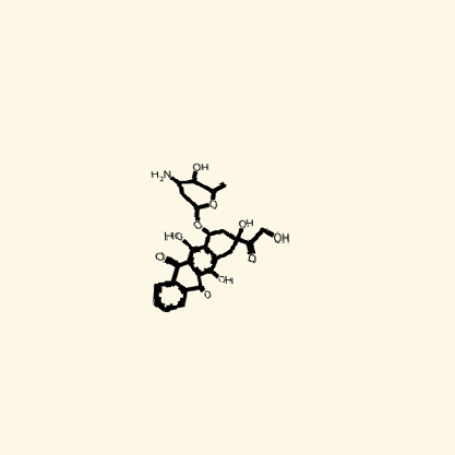 CC1OC(OC2CC(O)(C(=O)CO)Cc3c(O)c4c(c(O)c32)C(=O)c2ccccc2C4=O)CC(N)C1O